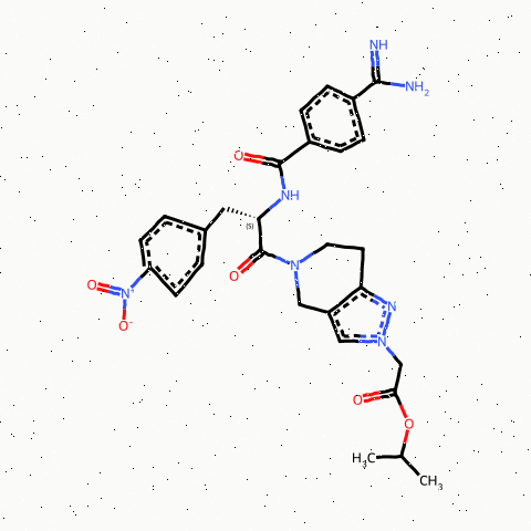 CC(C)OC(=O)Cn1cc2c(n1)CCN(C(=O)[C@H](Cc1ccc([N+](=O)[O-])cc1)NC(=O)c1ccc(C(=N)N)cc1)C2